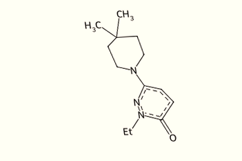 CCn1nc(N2CCC(C)(C)CC2)ccc1=O